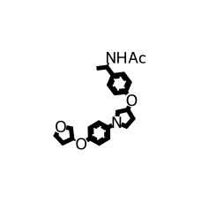 CC(=O)N[C@@H](C)c1ccc(OC2CCN(c3ccc(O[C@@H]4CCOC4)cc3)C2)cc1